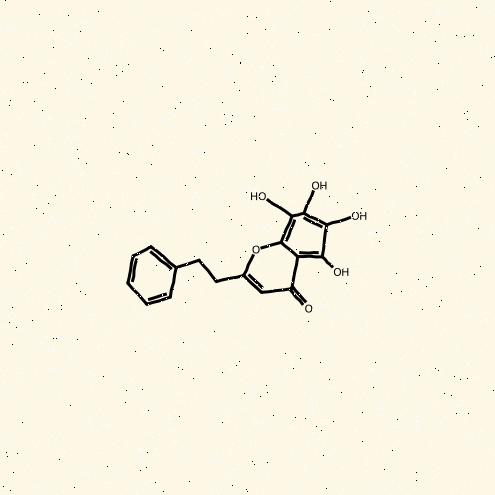 O=c1cc(CCc2ccccc2)oc2c(O)c(O)c(O)c(O)c12